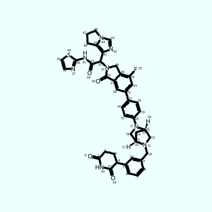 O=C1CCC(c2cccc(CN3C[C@@H]4C[C@H]3CN4c3ccc(-c4cc(F)c5c(c4)C(=O)N(C(C(=O)Nc4nccs4)c4ncn6c4CCC6)C5)cc3)c2)C(=O)N1